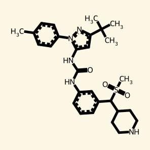 Cc1ccc(-n2nc(C(C)(C)C)cc2NC(=O)Nc2cccc(C(C3CCNCC3)S(C)(=O)=O)c2)cc1